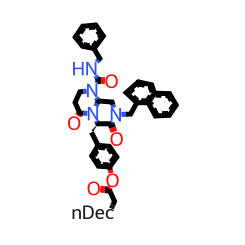 CCCCCCCCCCCC(=O)Oc1ccc(C[C@H]2C(=O)N(Cc3cccc4ccccc34)CC3N(C(=O)NCc4ccccc4)CCC(=O)N32)cc1